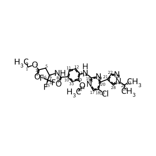 CCOC(=O)CC(NC(=O)c1ccc(Nc2ncc(Cl)c(-c3cnn(C(C)C)c3)n2)c(OC)c1)C(F)(F)F